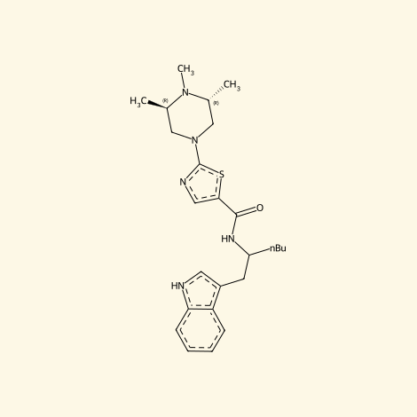 CCCCC(Cc1c[nH]c2ccccc12)NC(=O)c1cnc(N2C[C@@H](C)N(C)[C@H](C)C2)s1